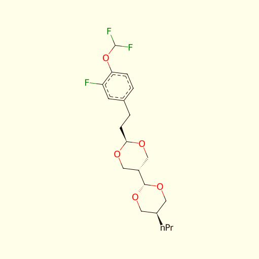 CCC[C@H]1CO[C@H]([C@H]2CO[C@H](CCc3ccc(OC(F)F)c(F)c3)OC2)OC1